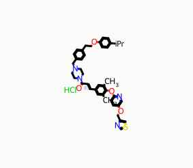 Cc1cc(/C=C/C(=O)N2CCN(Cc3ccc(CCOc4ccc(C(C)C)cc4)cc3)CC2)cc(C)c1Oc1ccc(OCc2cscn2)cn1.Cl